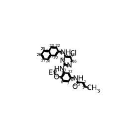 C/C=C/C(=O)Nc1ccc(OCC)c(Nc2ncc(Cl)c(Nc3ccc4ccccc4c3)n2)c1